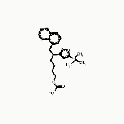 CC(=O)OCCCCC(Cc1cccc2ccccc12)c1coc([Si](C)(C)C)c1